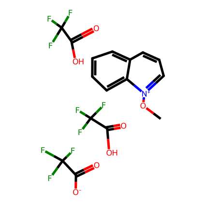 CO[n+]1cccc2ccccc21.O=C(O)C(F)(F)F.O=C(O)C(F)(F)F.O=C([O-])C(F)(F)F